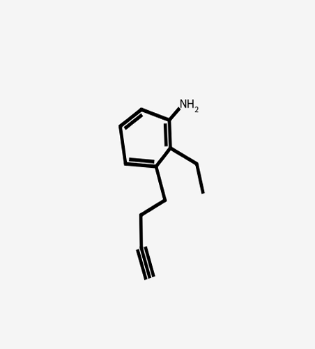 C#CCCc1cccc(N)c1CC